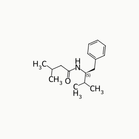 CC(C)CC(=O)N[C@@H](Cc1ccccc1)C(C)C